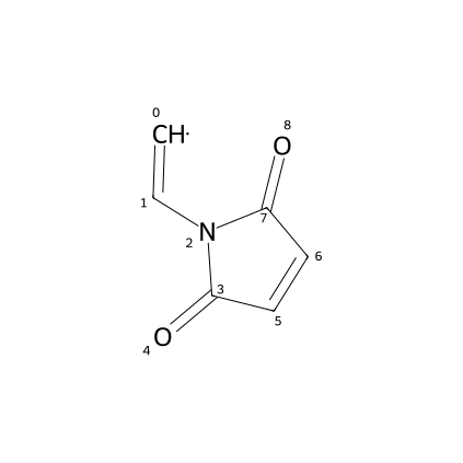 [CH]=CN1C(=O)C=CC1=O